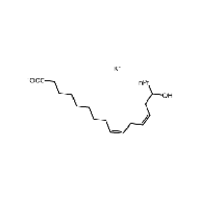 CCCC(O)C/C=C\C/C=C\CCCCCCCC(=O)[O-].[K+]